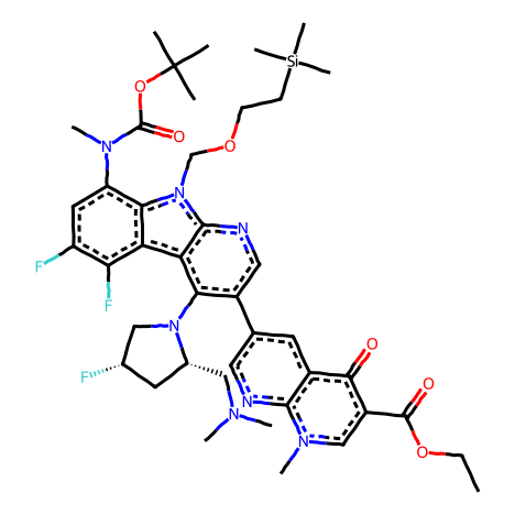 CCOC(=O)c1cn(C)c2ncc(-c3cnc4c(c3N3C[C@@H](F)C[C@H]3CN(C)C)c3c(F)c(F)cc(N(C)C(=O)OC(C)(C)C)c3n4COCC[Si](C)(C)C)cc2c1=O